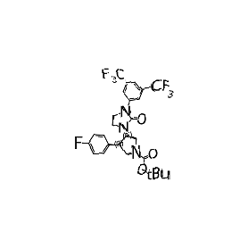 CC(C)(C)OC(=O)N1C[C@@H](N2CCN(c3cc(C(F)(F)F)cc(C(F)(F)F)c3)C2=O)[C@H](c2ccc(F)cc2)C1